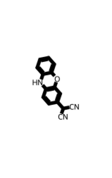 N#CC(C#N)c1ccc2c(c1)Oc1ccccc1N2